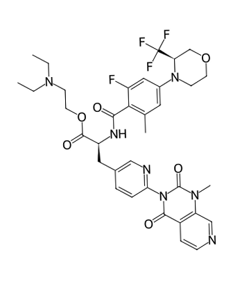 CCN(CC)CCOC(=O)[C@H](Cc1ccc(-n2c(=O)c3ccncc3n(C)c2=O)nc1)NC(=O)c1c(C)cc(N2CCOC[C@@H]2C(F)(F)F)cc1F